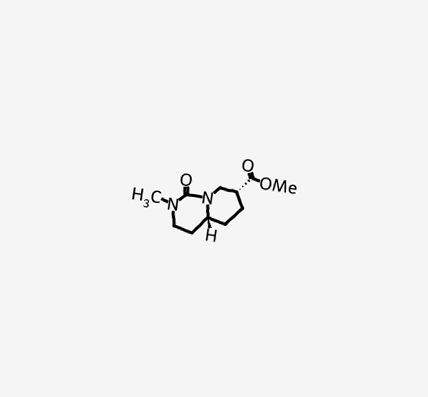 COC(=O)[C@@H]1CC[C@@H]2CCN(C)C(=O)N2C1